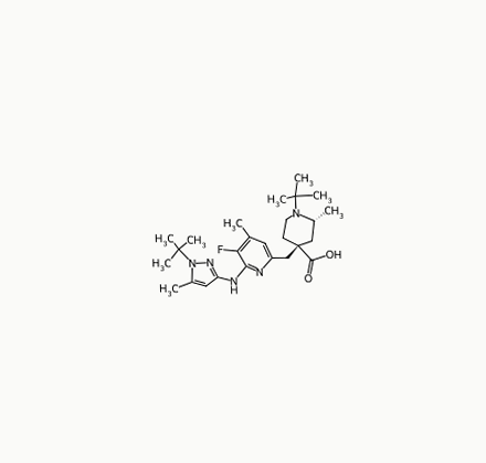 Cc1cc(C[C@@]2(C(=O)O)CCN(C(C)(C)C)[C@H](C)C2)nc(Nc2cc(C)n(C(C)(C)C)n2)c1F